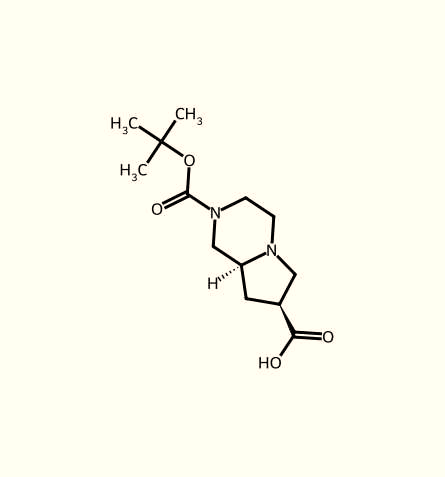 CC(C)(C)OC(=O)N1CCN2C[C@@H](C(=O)O)C[C@H]2C1